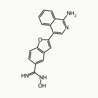 N=C(NO)c1ccc2oc(-c3cnc(N)c4ccccc34)cc2c1